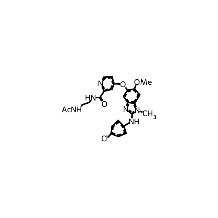 COc1cc2c(cc1Oc1ccnc(C(=O)NCCNC(C)=O)c1)nc(Nc1ccc(Cl)cc1)n2C